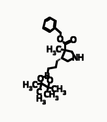 CC1(C)OB(CCC[C@H]2CNC[C@@]2(C)C(=O)OCc2ccccc2)OC1(C)C